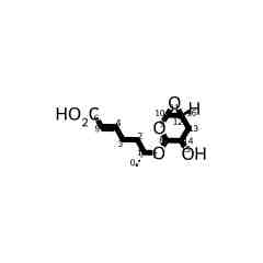 C[C@H](CC/C=C/C(=O)O)OC1OC2O[C@@H]2CC1O